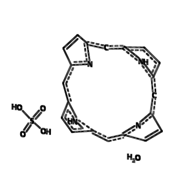 C1=Cc2cc3ccc(cc4nc(cc5ccc(cc1n2)[nH]5)C=C4)[nH]3.O.O=S(=O)(O)O